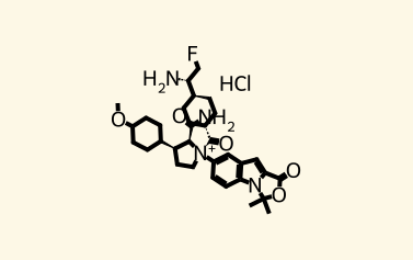 COC1CCC([C@@H]2CC[N@+](c3ccc4c(c3)cc3n4C(C)(C)OC3=O)(C(=O)[C@H]3CC[C@H]([C@H](N)CF)CC3)[C@@H]2C(N)=O)CC1.Cl